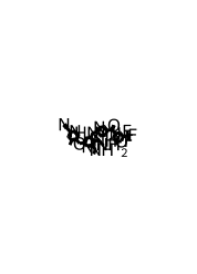 CNc1nc(Oc2cnc(C#N)cc2C)cc(Nc2ccc(C(=O)N3CCOC(C(F)(F)F)C3)cn2)c1NN